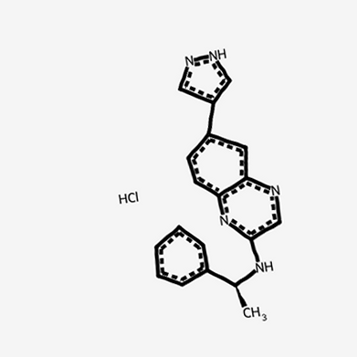 C[C@H](Nc1cnc2cc(-c3cn[nH]c3)ccc2n1)c1ccccc1.Cl